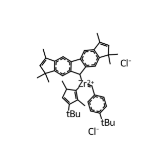 CC1=CC(C)(C)c2cc3c(cc21)-c1cc2c(cc1[CH]3/[Zr+2](=[CH]/c1ccc(C(C)(C)C)cc1)[C]1=C(C)C(C(C)(C)C)=CC1C)C(C)(C)C=C2C.[Cl-].[Cl-]